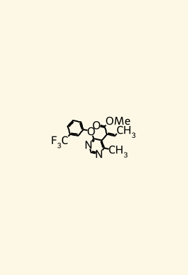 CC=C(C(=O)OC)c1c(C)ncnc1Oc1cccc(C(F)(F)F)c1